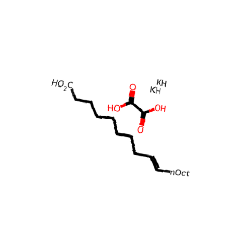 CCCCCCCCC=CCCCCCCCC(=O)O.O=C(O)C(=O)O.[KH].[KH]